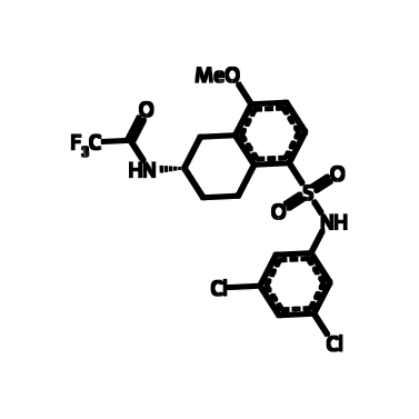 COc1ccc(S(=O)(=O)Nc2cc(Cl)cc(Cl)c2)c2c1C[C@@H](NC(=O)C(F)(F)F)CC2